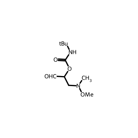 CON(C)CC(C=O)OC(=O)NC(C)(C)C